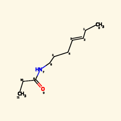 CC/C=C/CCCNC(=O)CC